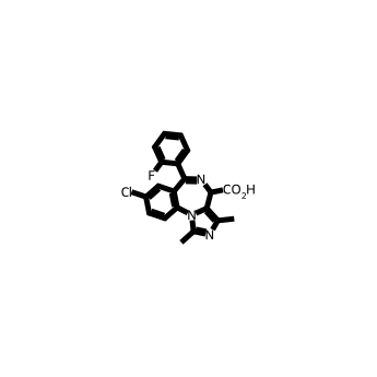 Cc1nc(C)n2c1C(C(=O)O)N=C(c1ccccc1F)c1cc(Cl)ccc1-2